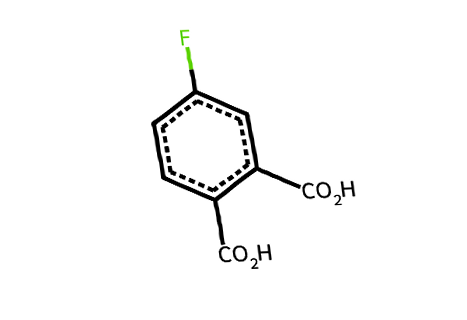 O=C(O)c1ccc(F)cc1C(=O)O